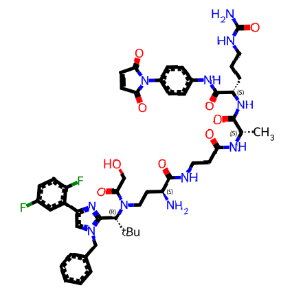 C[C@H](NC(=O)CCNC(=O)[C@@H](N)CCN(C(=O)CO)[C@@H](c1nc(-c2cc(F)ccc2F)cn1Cc1ccccc1)C(C)(C)C)C(=O)N[C@@H](CCCNC(N)=O)C(=O)Nc1ccc(N2C(=O)C=CC2=O)cc1